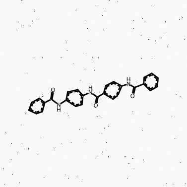 O=C(Nc1ccc(NC(=O)c2ccc(NC(=O)c3ccccc3)cc2)cc1)c1ccccc1